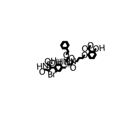 COC(=O)c1c(O)cccc1OCCCNC(=O)[C@H](Cc1ccc(C2CC(=O)NS2(O)O)c(Br)c1)NC(=O)OCc1ccccc1